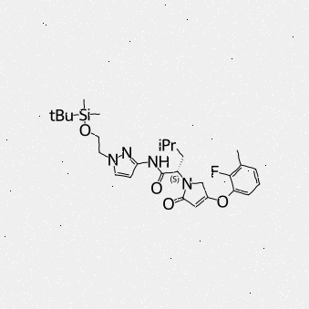 Cc1cccc(OC2=CC(=O)N([C@@H](CC(C)C)C(=O)Nc3ccn(CCO[Si](C)(C)C(C)(C)C)n3)C2)c1F